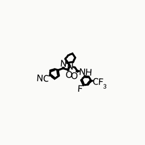 N#Cc1ccc(C2=NC3(CCCCC3)N(CC(=O)Nc3cc(F)cc(C(F)(F)F)c3)C2=O)cc1